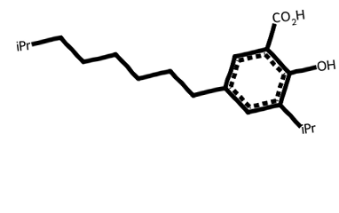 CC(C)CCCCCCc1cc(C(=O)O)c(O)c(C(C)C)c1